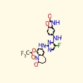 O=C1CCCc2cc(Nc3ncc(F)c(Nc4ccc5oc(=O)[nH]c5c4)n3)ccc2N1OC(=O)C(F)(F)F